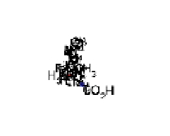 CC(C)(F)CN1C(C(F)F)Cc2c(ccc3c2cnn3C2CCCCO2)C1(C)c1c(F)cc(/C=C/C(=O)O)cc1F